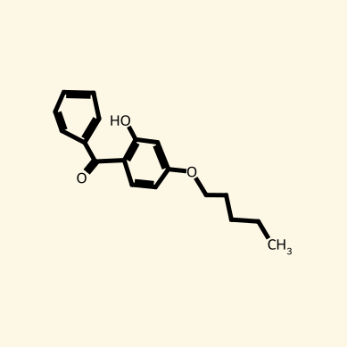 CCCCCOc1ccc(C(=O)c2ccccc2)c(O)c1